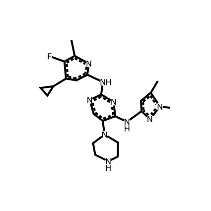 Cc1nc(Nc2ncc(N3CCNCC3)c(Nc3cc(C)n(C)n3)n2)cc(C2CC2)c1F